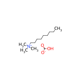 CCCCCCCCC[N+](C)(C)C.O=C([O-])O